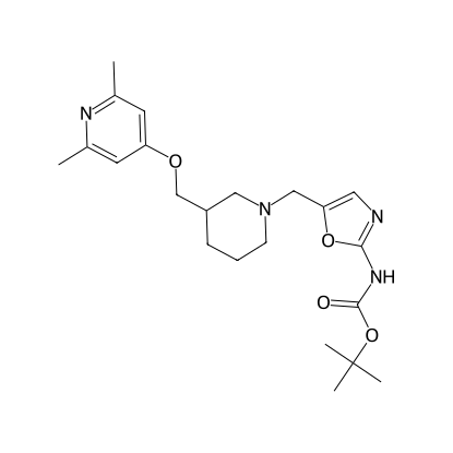 Cc1cc(OCC2CCCN(Cc3cnc(NC(=O)OC(C)(C)C)o3)C2)cc(C)n1